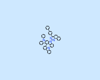 c1ccc(-c2ccc(-c3nc(-n4c5cc6c(c7ccccc7n6-c6ccccc6)c6c7cccc8c9ccccc9n(c9cccc4c9c65)c87)nc4c3ccc3ccccc34)cc2)cc1